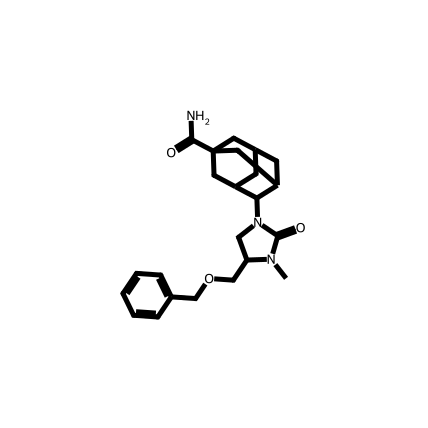 CN1C(=O)N(C2C3CC4CC2CC(C(N)=O)(C4)C3)CC1COCc1ccccc1